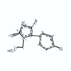 O=C(O)Cn1c(-c2ccc(Cl)cc2)c(Br)[nH]c1=O